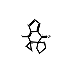 CC1=C2C=CC=C2C(=O)C2(CCCC2)C12CC2